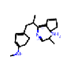 CNC1=CC=C(CC(C)C(/N=C\C(C)C)=C2\C=CCC2N)CC1